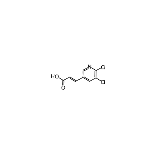 O=C(O)/C=C/c1cnc(Cl)c(Cl)c1